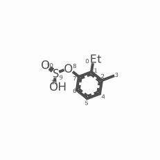 CCc1c(C)cccc1OS(=O)O